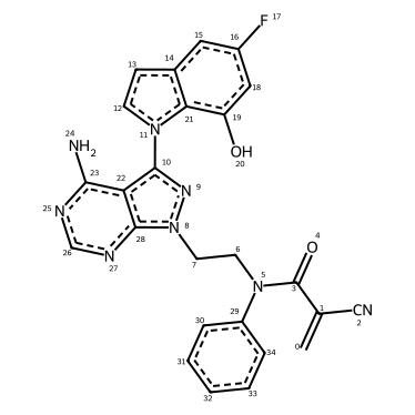 C=C(C#N)C(=O)N(CCn1nc(-n2ccc3cc(F)cc(O)c32)c2c(N)ncnc21)c1ccccc1